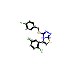 Fc1ccc(CSc2nnc3scc(-c4cc(Cl)ccc4Cl)n23)cc1